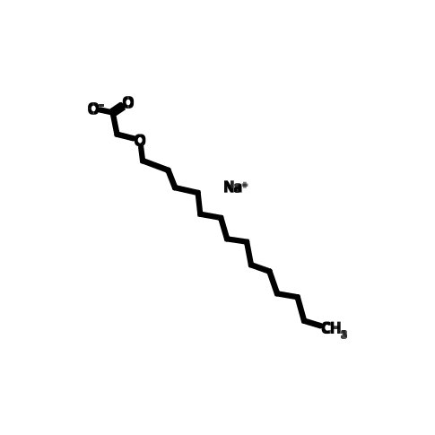 CCCCCCCCCCCCCCOCC(=O)[O-].[Na+]